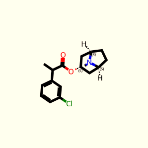 CC(C(=O)O[C@@H]1C[C@H]2CC[C@@H](C1)N2C)c1cccc(Cl)c1